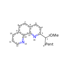 CCCC(C)C(OC)c1ccc2ccc3cccnc3c2n1